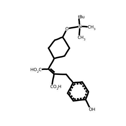 CC(C)(C)[Si](C)(C)OC1CCC(/C(C(=O)O)=C(\Cc2ccc(O)cc2)C(=O)O)CC1